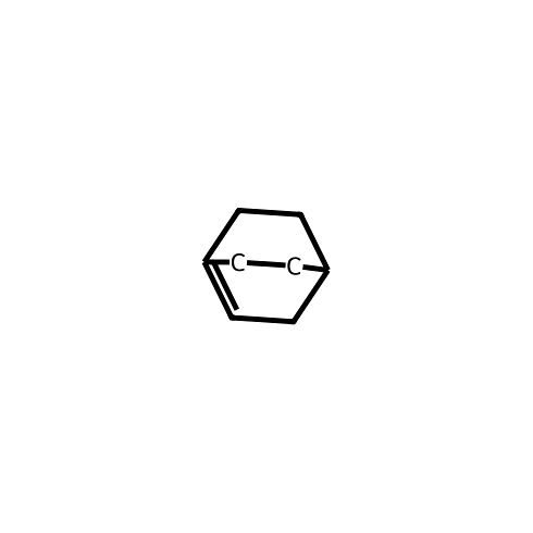 C1=C2CCC(C1)CC2